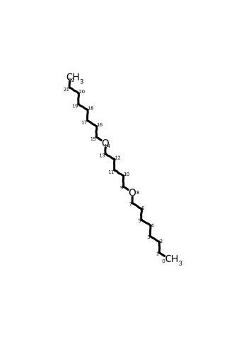 CCCCCCCCOCCCCCOCCCCCCCC